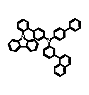 c1ccc(-c2ccc(N(c3ccc(-c4ccccc4-n4c5ccccc5c5ccccc54)cc3)c3cccc(-c4cccc5ccccc45)c3)cc2)cc1